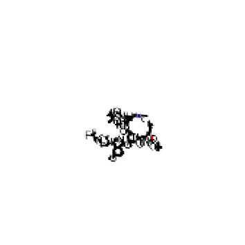 CCC1(S(=O)(=O)NC(=O)C23CC2/C=C\CC[C@@H](C)C[C@@H](C)[C@H](NC(=O)OC(C)(C)C)C(=O)N2C[C@H](Oc4ncc(N5CCN(CC(F)F)CC5)c5cc(OC)ccc45)C[C@H]2C(=O)N3)CC1